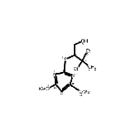 CCC(C)(CC)C(CO)Sc1nc(OC)cc(OC)n1